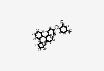 O=c1ccn2nc(Oc3ccc(F)cc3F)ccc2c1-c1ccccc1-c1ccco1